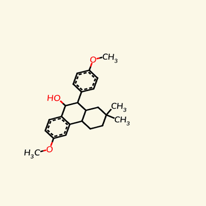 COc1ccc(C2C(O)c3ccc(OC)cc3C3CCC(C)(C)CC32)cc1